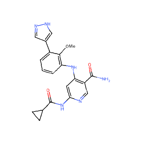 COc1c(Nc2cc(NC(=O)C3CC3)ncc2C(N)=O)cccc1-c1cn[nH]c1